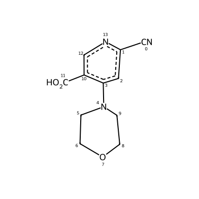 N#Cc1cc(N2CCOCC2)c(C(=O)O)cn1